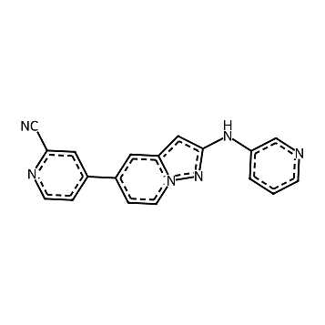 N#Cc1cc(-c2ccn3nc(Nc4cccnc4)cc3c2)ccn1